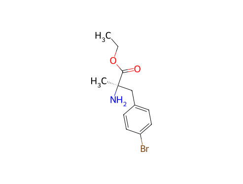 CCOC(=O)[C@](C)(N)Cc1ccc(Br)cc1